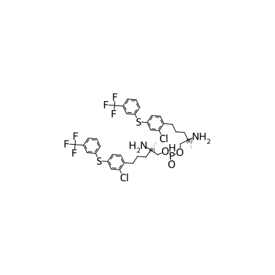 C[C@@](N)(CCCc1ccc(Sc2cccc(C(F)(F)F)c2)cc1Cl)CO[PH](=O)OC[C@](C)(N)CCCc1ccc(Sc2cccc(C(F)(F)F)c2)cc1Cl